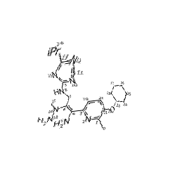 Cc1nc(/C(N)=C(\CNc2ncnc(C(C)C)n2)N(C)N)ccc1OC1CCCCC1